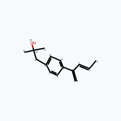 C=C(C=CC)c1ccc(CC(C)(C)O)cc1